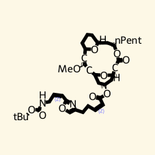 CCCCC[C@H]1C[C@@H]2CCCC(C[C@@H](OC)CC3C[C@@H](OC(=O)/C=C\CCc4coc(/C=C\CNC(=O)OC(C)(C)C)n4)C[C@@H](CC(=O)O1)O3)O2